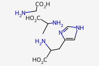 CC(N)C(=O)O.NC(Cc1c[nH]cn1)C(=O)O.NCC(=O)O